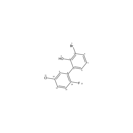 Oc1c(Br)cccc1-c1cc(Cl)ccc1F